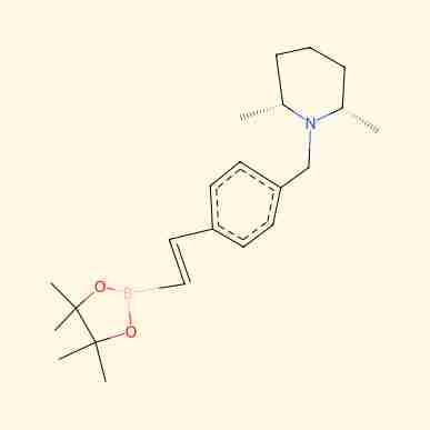 C[C@@H]1CCC[C@H](C)N1Cc1ccc(/C=C/B2OC(C)(C)C(C)(C)O2)cc1